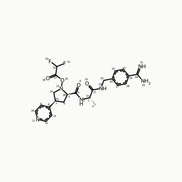 C[C@H](NC(=O)[C@H]1C[C@@H](c2ccncc2)CN1OC(=O)C(F)F)C(=O)NCc1ccc(C(=N)N)cc1